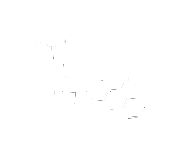 CC(c1c(Cl)cccc1Cl)N1CCC(C(N)(CCCCB(O)O)C(=O)O)CC1